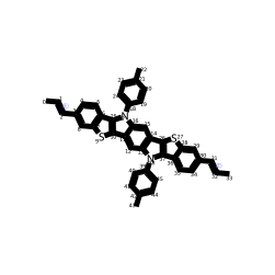 C/C=C/c1ccc2c(c1)sc1c3cc4c(cc3n(-c3ccc(C)cc3)c21)c1sc2cc(/C=C/C)ccc2c1n4-c1ccc(C)cc1